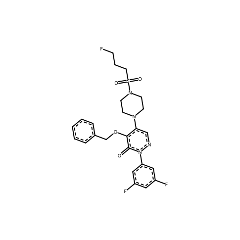 O=c1c(OCc2ccccc2)c(N2CCN(S(=O)(=O)CCCF)CC2)cnn1-c1cc(F)cc(F)c1